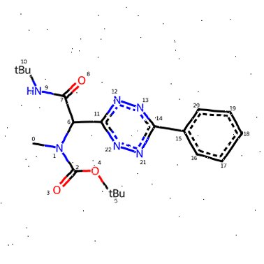 CN(C(=O)OC(C)(C)C)C(C(=O)NC(C)(C)C)c1nnc(-c2ccccc2)nn1